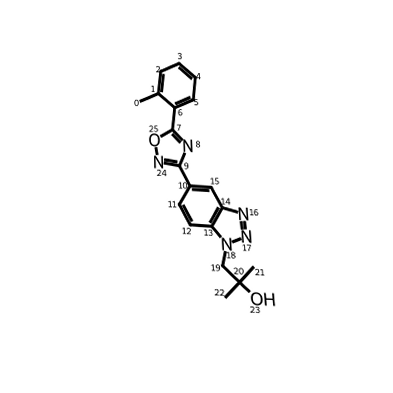 Cc1ccccc1-c1nc(-c2ccc3c(c2)nnn3CC(C)(C)O)no1